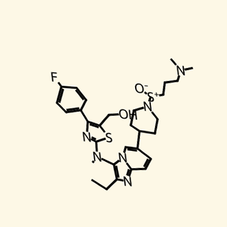 CCc1nc2ccc(C3CCN([S+]([O-])CCCN(C)C)CC3)cn2c1N(C)c1nc(-c2ccc(F)cc2)c(CO)s1